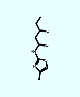 CCC(=O)CC(=O)Nc1nc(C)co1